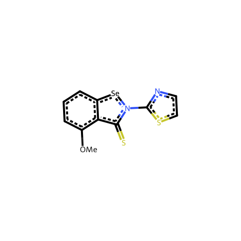 COc1cccc2[se]n(-c3nccs3)c(=S)c12